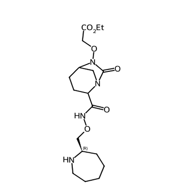 CCOC(=O)CON1C(=O)N2CC1CCC2C(=O)NOC[C@H]1CCCCCN1